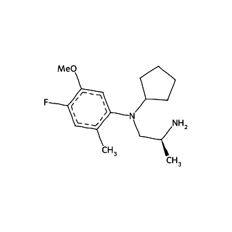 COc1cc(N(C[C@H](C)N)C2CCCC2)c(C)cc1F